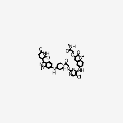 CNC(=O)COc1cc2cc(Nc3nc(NCC(=O)N4CCC(Nc5ccc6c(C7CCC(=O)NC7=O)nn(C)c6c5)CC4)ncc3Cl)ccc2n(C)c1=O